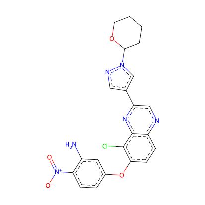 Nc1cc(Oc2ccc3ncc(-c4cnn(C5CCCCO5)c4)nc3c2Cl)ccc1[N+](=O)[O-]